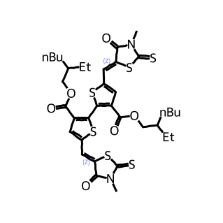 CCCCC(CC)COC(=O)c1cc(/C=C2\SC(=S)N(C)C2=O)sc1-c1sc(/C=C2\SC(=S)N(C)C2=O)cc1C(=O)OCC(CC)CCCC